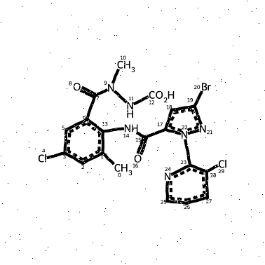 Cc1cc(Cl)cc(C(=O)N(C)NC(=O)O)c1NC(=O)c1cc(Br)nn1-c1ncccc1Cl